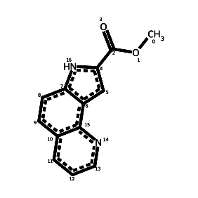 COC(=O)c1cc2c(ccc3cccnc32)[nH]1